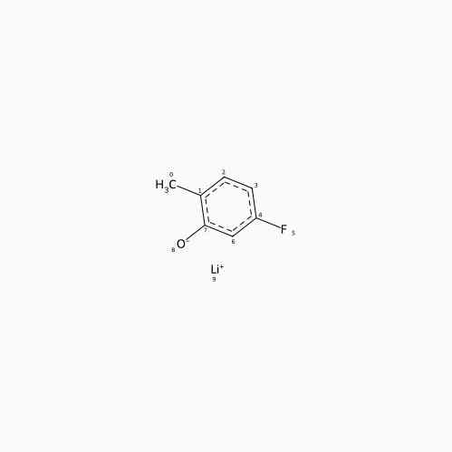 Cc1ccc(F)cc1[O-].[Li+]